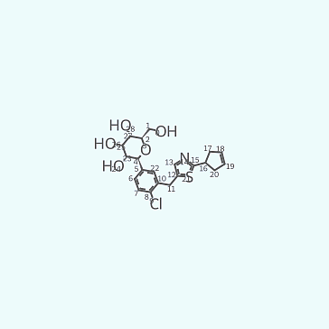 OC[C@H]1O[C@@H](c2ccc(Cl)c(Cc3cnc(C4CC=CC4)s3)c2)[C@H](O)[C@@H](O)[C@@H]1O